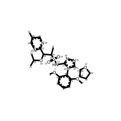 COc1cccc(OC)c1-n1c(NS(=O)(=O)C(C)C(OC(C)C)c2ncc(C)cn2)nnc1[C@H]1CCCO1